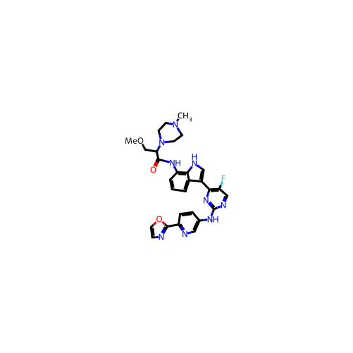 COCC(C(=O)Nc1cccc2c(-c3nc(Nc4ccc(-c5ncco5)nc4)ncc3F)c[nH]c12)N1CCN(C)CC1